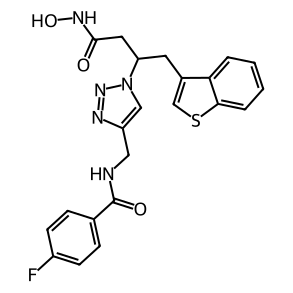 O=C(CC(Cc1csc2ccccc12)n1cc(CNC(=O)c2ccc(F)cc2)nn1)NO